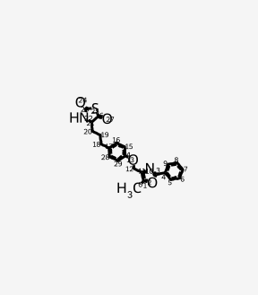 Cc1oc(-c2ccccc2)nc1COc1ccc(CCCC2NC(=O)SC2=O)cc1